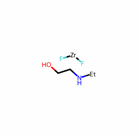 CCNCCO.[F][Zr][F]